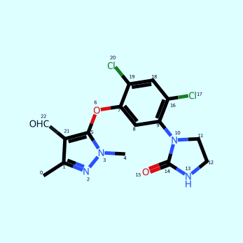 Cc1nn(C)c(Oc2cc(N3CCNC3=O)c(Cl)cc2Cl)c1C=O